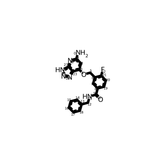 Nc1cc(OCc2cc(C(=O)NCc3ccccc3)ccc2F)c2nn[nH]c2n1